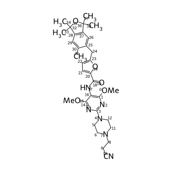 COc1nc(N2CCN(CCC#N)CC2)nc(OC)c1NC(=O)c1ccc(Cc2cc3c(cc2C)C(C)(C)OC3(C)C)o1